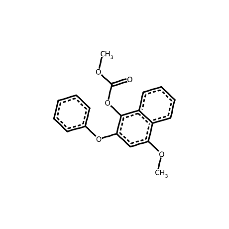 COC(=O)Oc1c(Oc2ccccc2)cc(OC)c2ccccc12